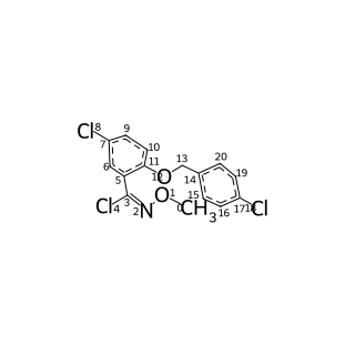 CO/N=C(/Cl)c1cc(Cl)ccc1OCc1ccc(Cl)cc1